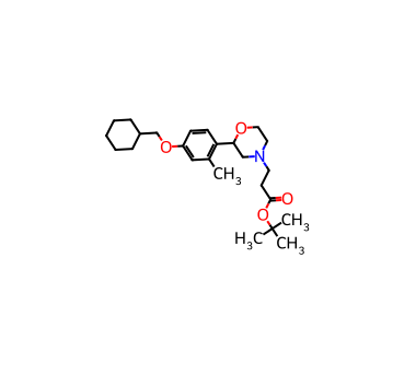 Cc1cc(OCC2CCCCC2)ccc1C1CN(CCC(=O)OC(C)(C)C)CCO1